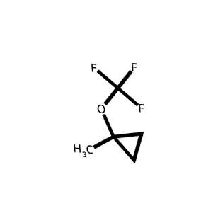 CC1(OC(F)(F)F)CC1